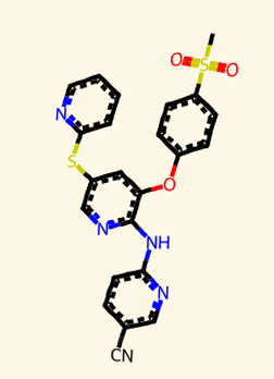 CS(=O)(=O)c1ccc(Oc2cc(Sc3ccccn3)cnc2Nc2ccc(C#N)cn2)cc1